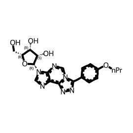 CCCOc1ccc(-c2nnc3c4ncn([C@@H]5O[C@H](CO)[C@H](O)[C@@H]5O)c4ncn23)cc1